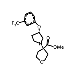 COC(=O)C1(N2CC[C@@H](Oc3cccc(C(F)(F)F)c3)C2)CCOCC1